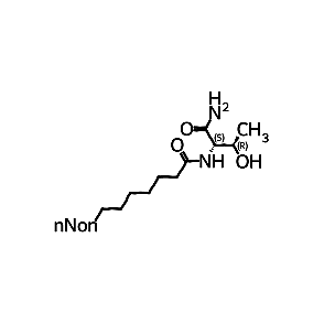 CCCCCCCCCCCCCCCC(=O)N[C@H](C(N)=O)[C@@H](C)O